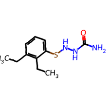 CCc1cccc(SNNC(N)=O)c1CC